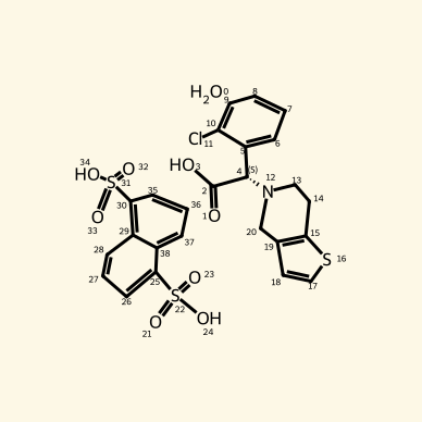 O.O=C(O)[C@H](c1ccccc1Cl)N1CCc2sccc2C1.O=S(=O)(O)c1cccc2c(S(=O)(=O)O)cccc12